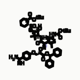 CC(C)(C)OC(=O)N1CCCCC1.Cc1sc(NC(=O)OC(C)(C)C)nc1/C(=N/O[C@@H](COc1ccc(C(=N)N)cc1)C(=O)OC(c1ccccc1)c1ccccc1)C(=O)N[C@@H]1C(=O)N(OS(=O)(=O)O)C1(C)C